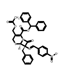 CC(=O)OCC1=C(C(=O)OC(c2ccccc2)c2ccccc2)N2C(=O)[C@](Cc3ccccc3)(N=Cc3ccc([N+](=O)[O-])cc3)[C@H]2SC1